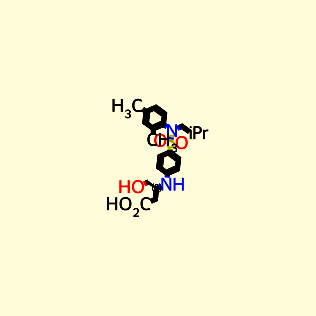 Cc1ccc(N(CC(C)C)S(=O)(=O)c2ccc(N[C@H](CO)CC(=O)O)cc2)c(C)c1